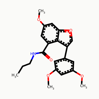 CCCNC(=O)c1cc(OC)cc2occ(-c3cc(OC)cc(OC)c3)c12